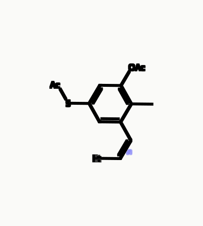 CC/C=C\c1cc(SC(C)=O)cc(OC(C)=O)c1C